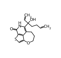 C=CCCC(O)(C=C)c1[nH]c(=O)c2scc3c2c1CCCO3